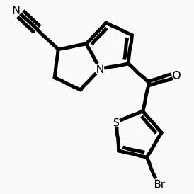 N#CC1CCn2c(C(=O)c3cc(Br)cs3)ccc21